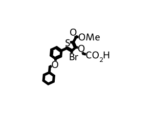 COC(=O)c1sc(-c2cccc(OCC3CCCCC3)c2)c(Br)c1OCC(=O)O